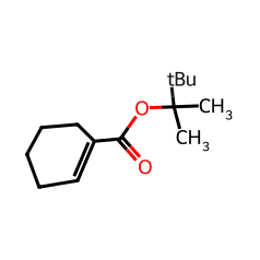 CC(C)(C)C(C)(C)OC(=O)C1=CCCCC1